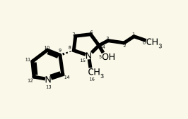 CCCCC1(O)CC[C@@H](c2cccnc2)N1C